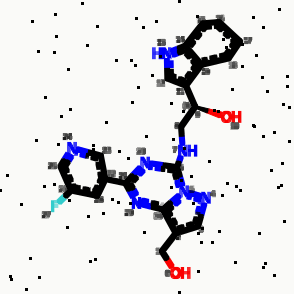 OCc1cnn2c(NC[C@H](O)c3c[nH]c4ccccc34)nc(-c3cncc(F)c3)nc12